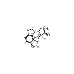 CC([C@@H]1CCc2ccc3c(c21)CCO3)[C@](C)(O)C(N)=O